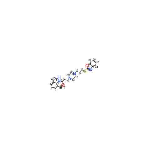 CC(C)c1cccc(C(C)C)c1NC(=O)CCN1CCN(CCCSc2nc3ccccc3o2)CC1